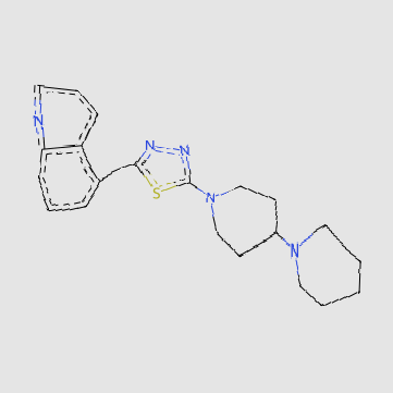 c1cc(-c2nnc(N3CCC(N4CCCCC4)CC3)s2)c2cccnc2c1